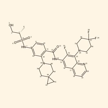 C[C@@H](CO)S(=O)(=O)Nc1ccc(C(=O)Nc2cc3cccnc3c(N3CCC(F)(F)CC3)c2F)c(N2CCC3(CC2)CC3)c1